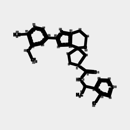 CC(NC(=O)N1CCC2(C1)OCCn1nc(-c3cnc(N)c(OC(F)(F)F)c3)cc12)c1ccncc1Cl